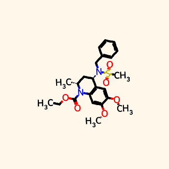 CCOC(=O)N1c2cc(OC)c(OC)cc2[C@@H](N(Cc2ccccc2)S(C)(=O)=O)C[C@H]1C